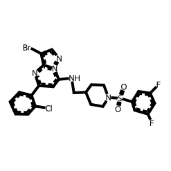 O=S(=O)(c1cc(F)cc(F)c1)N1CCC(CNc2cc(-c3ccccc3Cl)nc3c(Br)cnn23)CC1